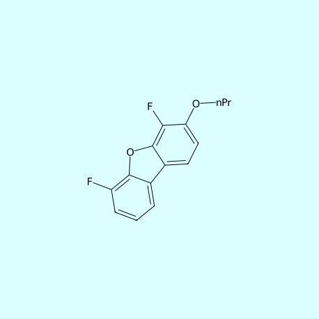 CCCOc1ccc2c(oc3c(F)cccc32)c1F